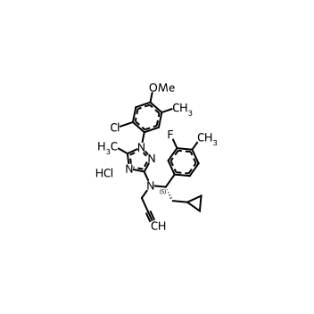 C#CCN(c1nc(C)n(-c2cc(C)c(OC)cc2Cl)n1)[C@@H](CC1CC1)c1ccc(C)c(F)c1.Cl